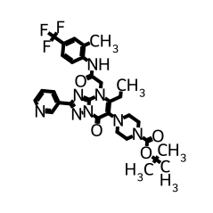 CCc1c(N2CCN(C(=O)OC(C)(C)C)CC2)c(=O)n2nc(-c3cccnc3)nc2n1CC(=O)Nc1ccc(C(F)(F)F)cc1C